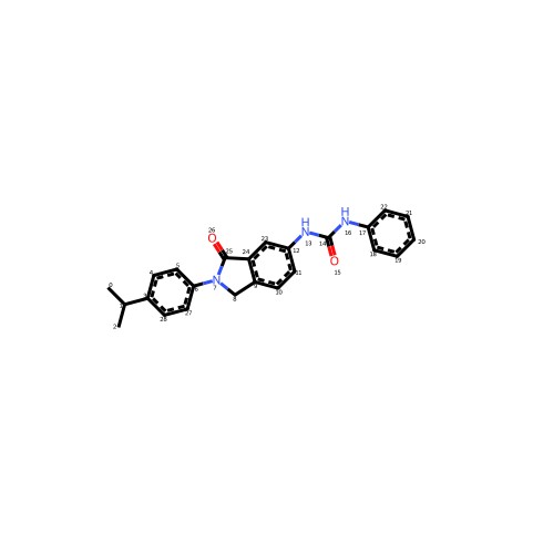 CC(C)c1ccc(N2Cc3ccc(NC(=O)Nc4ccccc4)cc3C2=O)cc1